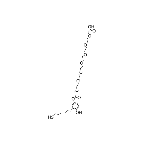 O=C(O)COCCOCCOCCOCCOCCOCCOCC(=O)Oc1ccc(O)c(CCCCCCS)c1